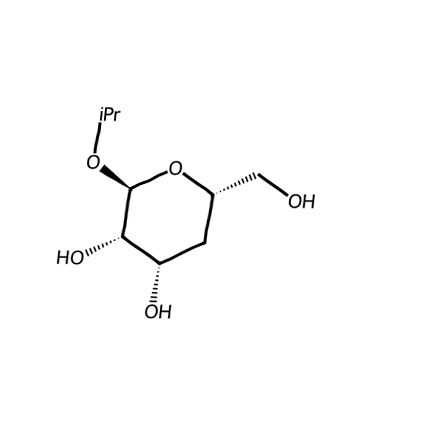 CC(C)O[C@H]1O[C@H](CO)C[C@H](O)[C@@H]1O